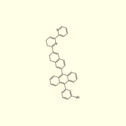 CC(C)c1cccc(-c2c3ccccc3c(-c3ccc4c(c3)CCC(C3=NC(c5ccccn5)=CCC3)=C4)c3ccccc23)c1